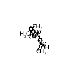 CCCCC(C(=O)O)N1CCC(CNC(=O)c2cc3c(C)cccc3n(C(C)C)c2=O)CC1